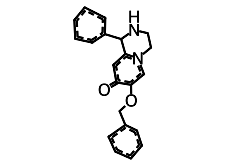 O=c1cc2n(cc1OCc1ccccc1)CCNC2c1ccccc1